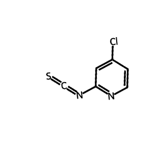 S=C=Nc1cc(Cl)ccn1